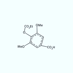 CCOC(=O)Oc1c(OC)cc(C(=O)O)cc1OC